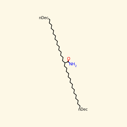 CCCCCCCCCCCCCCCCCCCCCCCCCCC(CCCCCCCCCCCCCCCCCCCCCCCCCC)C(N)=O